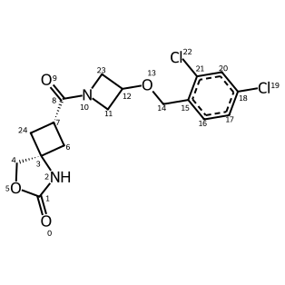 O=C1N[C@]2(CO1)C[C@@H](C(=O)N1CC(OCc3ccc(Cl)cc3Cl)C1)C2